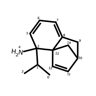 CC(C)C1(N)C=CC=C2CC3C=CC21C3